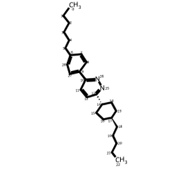 CCCCCCc1ccc(-c2ccc([C@H]3CC[C@H](CCCCC)CC3)nn2)cc1